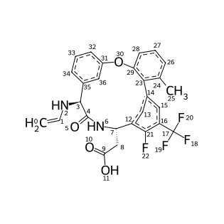 C=CN[C@@H]1C(=O)N[C@@H](CC(=O)O)c2cc(cc(C(F)(F)F)c2F)-c2c(C)cccc2Oc2cccc1c2